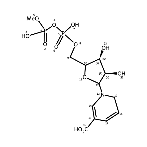 COP(=O)(O)OP(=O)(O)OCC1OC(N2C=C(C(=O)O)C=CC2)[C@H](O)[C@@H]1O